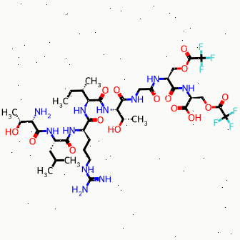 CC[C@H](C)[C@H](NC(=O)[C@@H](CCCNC(=N)N)NC(=O)[C@H](CC(C)C)NC(=O)[C@@H](N)[C@@H](C)O)C(=O)N[C@H](C(=O)NCC(=O)N[C@@H](COC(=O)C(F)(F)F)C(=O)N[C@@H](COC(=O)C(F)(F)F)C(=O)O)[C@H](C)O